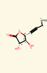 CCCCCCCCC#C[C@H]1OC(=O)[C@@H](O)[C@@H]1O